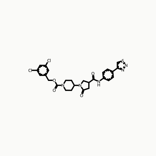 O=C(Nc1ccc(-c2csnn2)cc1)C1CC(=O)N(C2CCN(C(=O)OCc3cc(Cl)cc(Cl)c3)CC2)C1